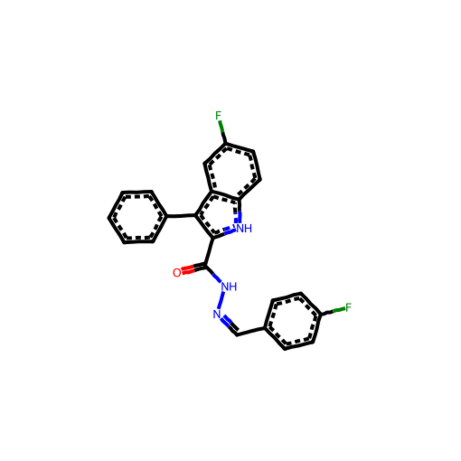 O=C(N/N=C\c1ccc(F)cc1)c1[nH]c2ccc(F)cc2c1-c1ccccc1